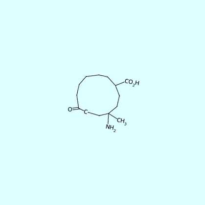 CC1(N)CCC(=O)CCCCCC(C(=O)O)CC1